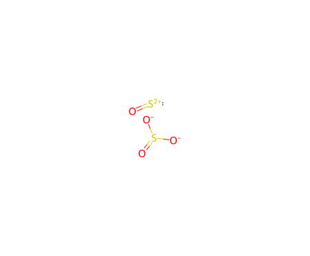 O=S([O-])[O-].O=[S+2]